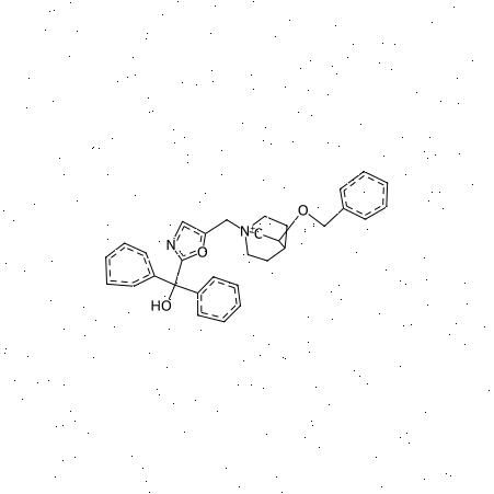 OC(c1ccccc1)(c1ccccc1)c1ncc(C[N+]23CCC(CC2)C(OCc2ccccc2)C3)o1